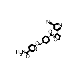 N#Cc1cncc([C@@H]2CCON2C(=O)[C@H]2CC[C@H](COc3ccc(C(N)=O)cn3)CC2)c1